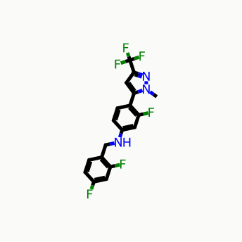 Cn1nc(C(F)(F)F)cc1-c1ccc(NCc2ccc(F)cc2F)cc1F